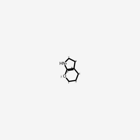 C1COC2=C(C1)CCN2